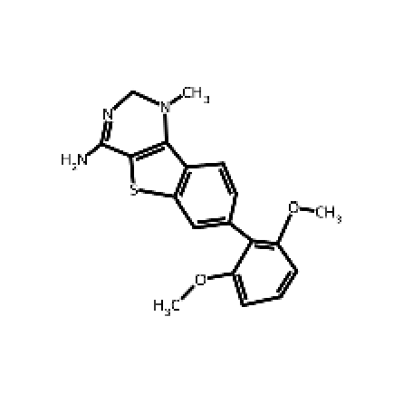 COc1cccc(OC)c1-c1ccc2c3c(sc2c1)C(N)=NCN3C